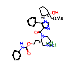 COC[C@]1(O)CCCC[C@H]1n1cnc(C(=O)N2CCNC[C@H]2CCOC(=O)Nc2ccccc2)c1-c1ccccc1.Cl.Cl